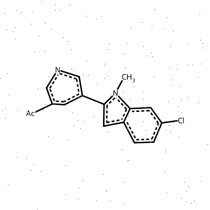 CC(=O)c1cncc(-c2cc3ccc(Cl)cc3n2C)c1